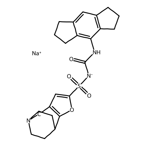 O=C([N-]S(=O)(=O)c1cc2c(o1)C1CCN(CC1)C2)Nc1c2c(cc3c1CCC3)CCC2.[Na+]